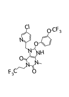 Cn1c2c(c(=O)n(CCC(F)(F)F)c1=O)N(Cc1ccc(Cl)cn1)C(Oc1cccc(OC(F)(F)F)c1)N2